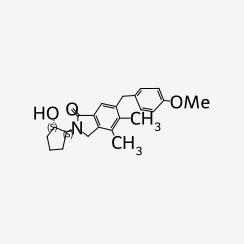 COc1ccc(Cc2cc3c(c(C)c2C)CN([C@H]2CCC[C@@H]2O)C3=O)cc1